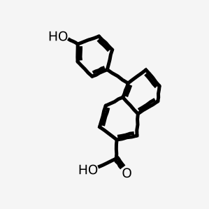 O=C(O)c1ccc2c(-c3ccc(O)cc3)cccc2c1